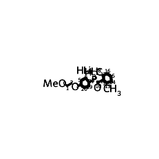 COCCOc1ccc(PC(=O)c2c(C)cccc2C)cc1.[LiH]